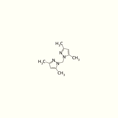 Cc1cc(C)n(Cn2nc(C)cc2C)n1